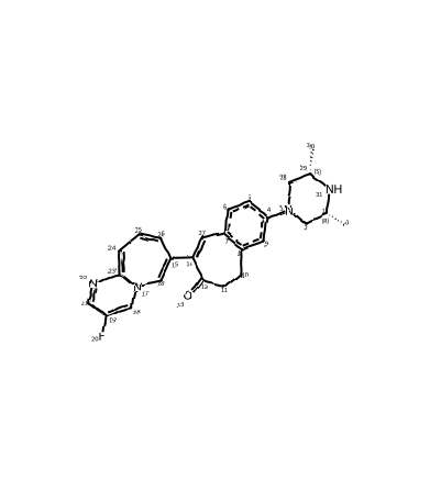 C[C@@H]1CN(c2ccc3c(c2)CCC(=O)C(C2=CN4C=C(F)C=NC4=CC=C2)=C3)C[C@H](C)N1